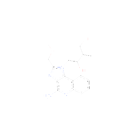 CCOCc1nc2c(N)nc3ccccc3c2n1CC(O)C(C)CO